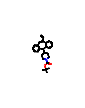 C=CC1=Cc2ccccc2C(C2CCN(C(=O)OC(C)(C)C)CC2)c2ccccc21